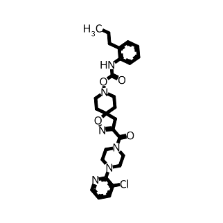 CCCc1ccccc1NC(=O)ON1CCC2(CC1)CC(C(=O)N1CCN(c3ncccc3Cl)CC1)=NO2